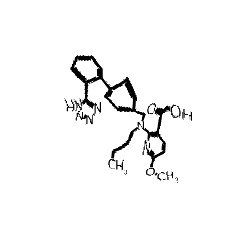 CCCCN(Cc1ccc(-c2ccccc2-c2nnn[nH]2)cc1)c1nc(OC)ccc1C(=O)O